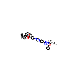 CC[C@@H]([C@H](C)OCc1ccccc1)n1cnc(-c2ccc(N3CCN(c4ccc(B5OC(C)(C)C(C)(C)O5)cc4)CC3)cc2)n1